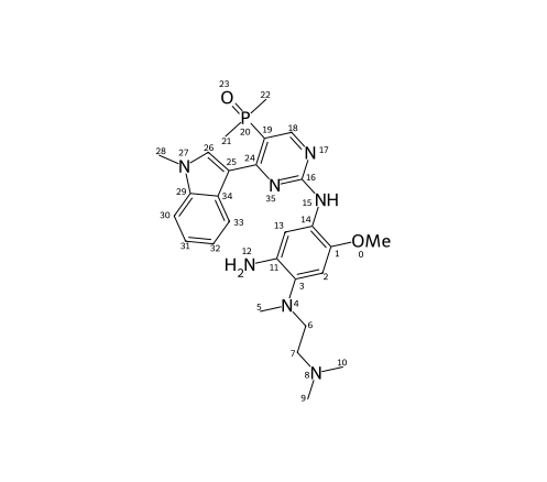 COc1cc(N(C)CCN(C)C)c(N)cc1Nc1ncc(P(C)(C)=O)c(-c2cn(C)c3ccccc23)n1